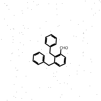 O=Cc1cccc(Cc2ccccc2)c1Cc1ccccc1